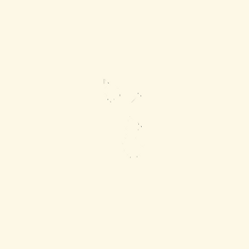 Cc1ccc2oc(C3=NCCc4[nH]cnc43)nc2c1